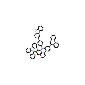 C1=C(c2ccc(N(c3cc(-c4cc5ccccc5c5ccccc45)ccc3-c3ccccc3)c3cccc4c3-c3ccccc3C4(c3ccccc3)c3ccccc3)cc2)CCc2oc3ccccc3c21